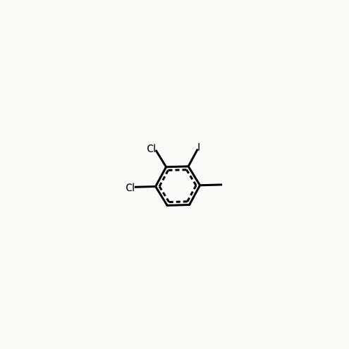 Cc1ccc(Cl)c(Cl)c1I